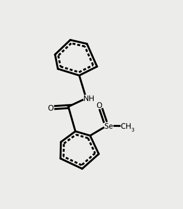 C[Se](=O)c1ccccc1C(=O)Nc1ccccc1